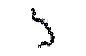 CC(c1cccc(N/C=C\C(=N)C2CCC3CN(c4ncc(Cc5cccc(-n6cccn6)c5)s4)CCC3O2)c1)c1cnc(N2CCc3cc(-c4ccn(-c5ccc(Cc6cnc(N7CCc8ccc(C#N)cc8C7)s6)cc5)n4)ccc3C2)s1